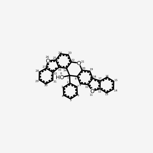 OC1(c2ccccc2)c2cc3oc4ccccc4c3cc2Oc2ccc3oc4ccccc4c3c21